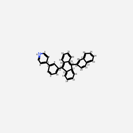 c1cc(-c2ccncc2)cc(-c2c3ccccc3c(-c3ccc4ccccc4c3)c3ccccc23)c1